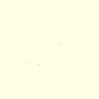 CCCCCCCCC(CC)c1cc(C(N)=O)c2ccccc2n1